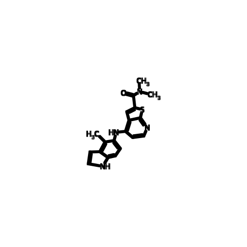 Cc1c(Nc2ccnc3sc(C(=O)N(C)C)cc23)ccc2[nH]ccc12